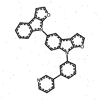 c1cncc(-c2cccc(-n3c4ccc(-n5c6ccccc6c6ccoc65)cc4c4ccoc43)c2)c1